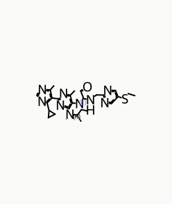 CCSc1cnc(CN/C(C=O)=N/c2c(C)nc(-c3c(C)ncnc3C3CC3)nc2N(C)[C@H](C)CC)nc1